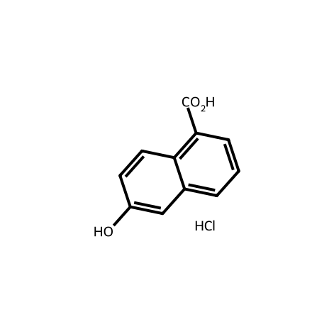 Cl.O=C(O)c1cccc2cc(O)ccc12